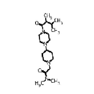 CC(C)C(C)C(=O)N1CCN(C2CCN(CC(=O)N(C)C)CC2)CC1